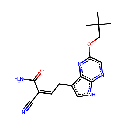 CC(C)(C)COc1cnc2[nH]cc(CC=C(C#N)C(N)=O)c2n1